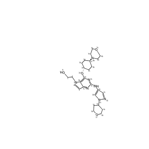 OCCn1ccc2nc(Nc3cnn(C4CCOCC4)c3)nc(O[C@H]3CC[C@H](N4CCOCC4)CC3)c21